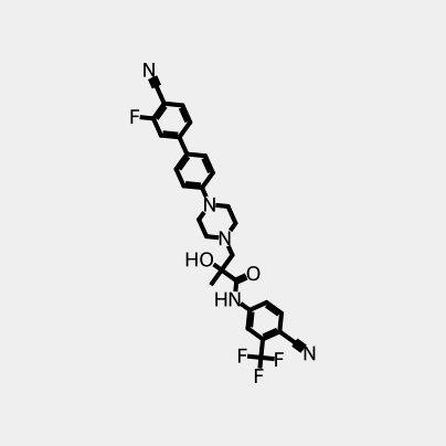 CC(O)(CN1CCN(c2ccc(-c3ccc(C#N)c(F)c3)cc2)CC1)C(=O)Nc1ccc(C#N)c(C(F)(F)F)c1